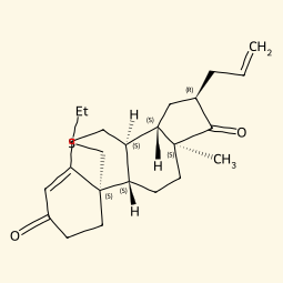 C=CC[C@@H]1C[C@H]2[C@@H]3CCC4=CC(=O)CC[C@]4(CSCC)[C@H]3CC[C@]2(C)C1=O